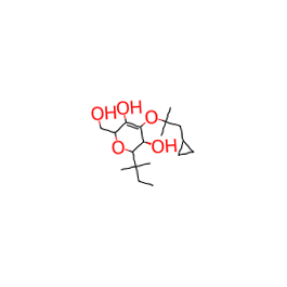 CCC(C)(C)C1OC(CO)C(O)=C(OC(C)(C)CC2CC2)[C@H]1O